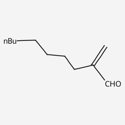 C=C(C=O)CCCCCCCC